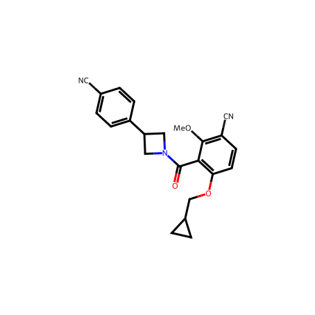 COc1c(C#N)ccc(OCC2CC2)c1C(=O)N1CC(c2ccc(C#N)cc2)C1